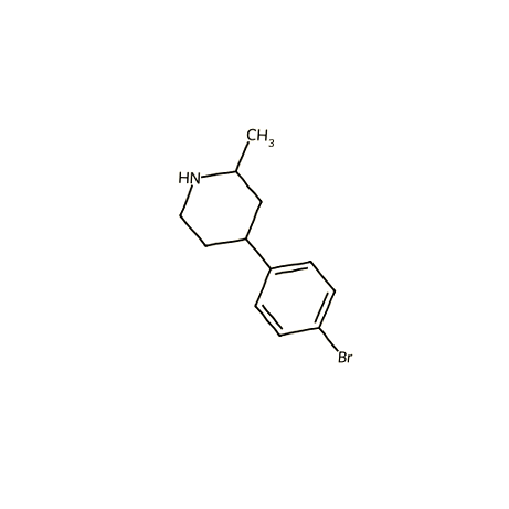 CC1CC(c2ccc(Br)cc2)CCN1